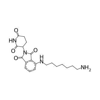 NCCCCCCCNc1cccc2c1C(=O)N(C1CCC(=O)NC1=O)C2=O